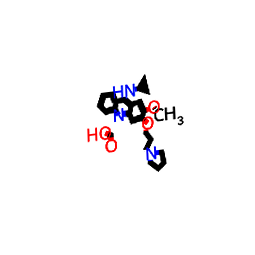 COc1cc2c(NC3CC3)c3ccccc3nc2cc1OCCCN1CCCC1.O=CO